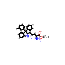 Cc1cccc(C(c2ccccc2)(c2ccccc2)C(N)CCC[C@H](N)C(=O)OC(C)(C)C)c1